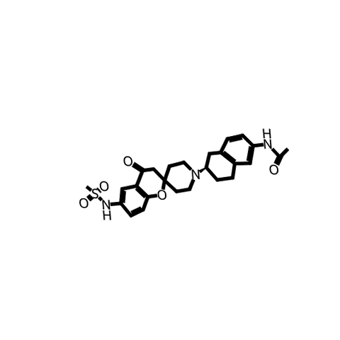 CC(=O)Nc1ccc2c(c1)CC[C@@H](N1CCC3(CC1)CC(=O)c1cc(NS(C)(=O)=O)ccc1O3)C2